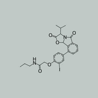 CCCNC(=O)COc1ccc(-c2cccc3c2C2OC(=O)C(C(C)C)N2C3=O)cc1I